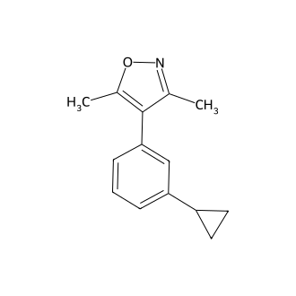 Cc1noc(C)c1-c1cccc(C2CC2)c1